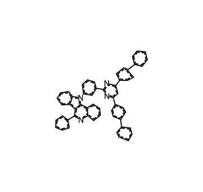 c1ccc(-c2ccc(-c3cc(-c4ccc(-c5ccccc5)cc4)nc(-c4cccc(-n5c6ccccc6c6c(-c7ccccc7)nc7ccccc7c65)c4)n3)cc2)cc1